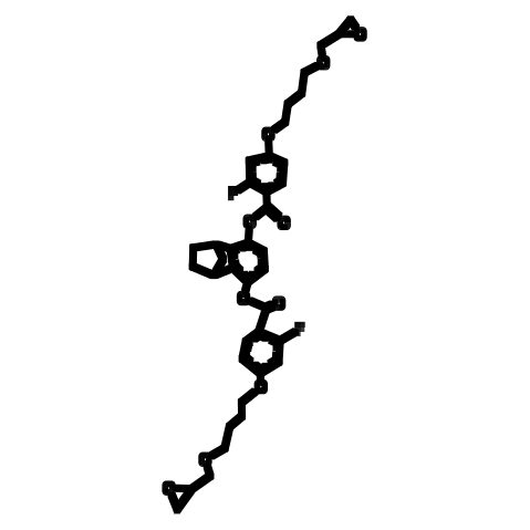 O=C(Oc1ccc(OC(=O)c2ccc(OCCCCOCC3CO3)cc2F)c2c1C1CCC2C1)c1ccc(OCCCCOCC2CO2)cc1F